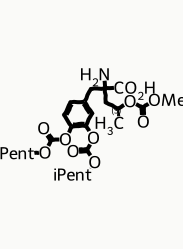 CCCC(C)OC(=O)Oc1ccc(CC(N)(C[C@H](C)OC(=O)OC)C(=O)O)cc1OC(=O)OC(C)CCC